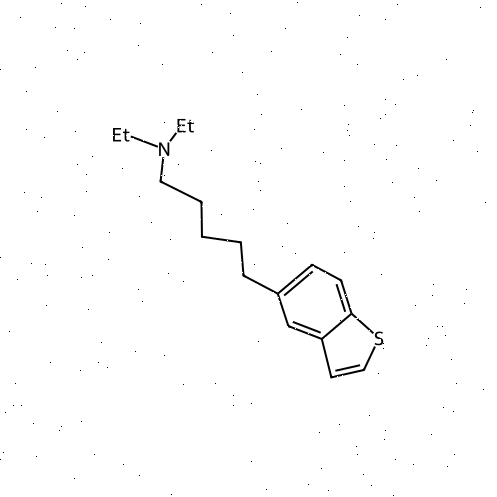 CCN(CC)CCCCCc1ccc2sccc2c1